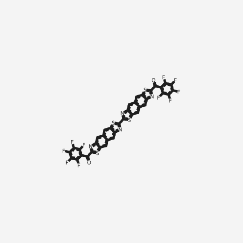 O=C(c1nc2cc3cc4sc(-c5nc6cc7cc8sc(C(=O)c9c(F)c(F)c(F)c(F)c9F)nc8cc7cc6s5)nc4cc3cc2s1)c1c(F)c(F)c(F)c(F)c1F